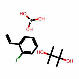 C=Cc1ccccc1F.CC(C)(O)C(C)(C)O.OB(O)O